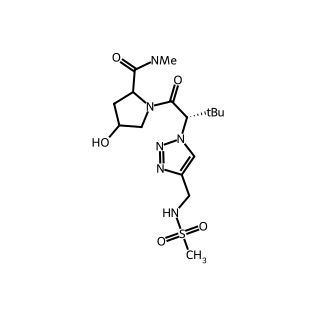 CNC(=O)C1CC(O)CN1C(=O)[C@@H](n1cc(CNS(C)(=O)=O)nn1)C(C)(C)C